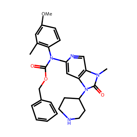 COc1ccc(N(C(=O)OCc2ccccc2)c2cc3c(cn2)n(C)c(=O)n3C2CCNCC2)c(C)c1